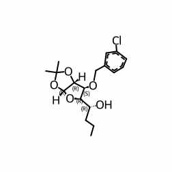 CCC[C@@H](O)[C@H]1O[C@@H]2OC(C)(C)O[C@@H]2[C@H]1OCc1cccc(Cl)c1